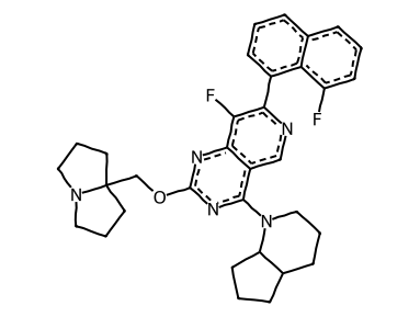 Fc1c(-c2cccc3cccc(F)c23)ncc2c(N3CCCC4CCCC43)nc(OCC34CCCN3CCC4)nc12